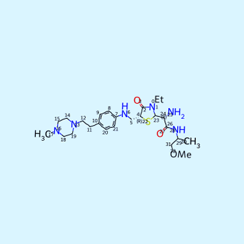 CCN1C(=O)[C@@H](CNc2ccc(CCN3CCN(C)CC3)cc2)SC1[C@H](N)C(=O)NC(C)COC